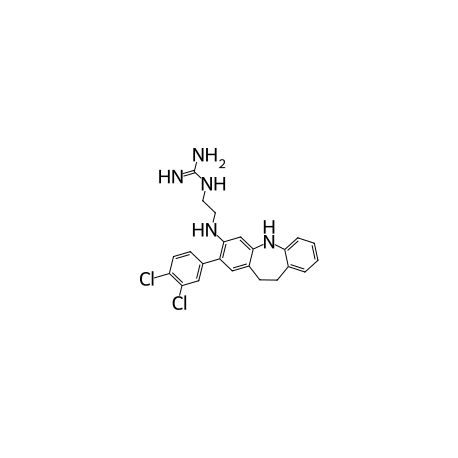 N=C(N)NCCNc1cc2c(cc1-c1ccc(Cl)c(Cl)c1)CCc1ccccc1N2